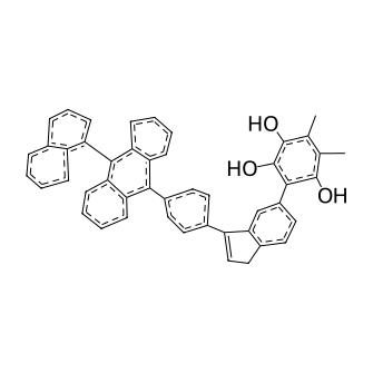 Cc1c(C)c(O)c(-c2ccc3c(c2)C(c2ccc(-c4c5ccccc5c(-c5cccc6ccccc56)c5ccccc45)cc2)=CC3)c(O)c1O